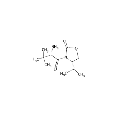 CC(C)[C@H]1COC(=O)N1C(=O)[C@@H](N)C(C)(C)C